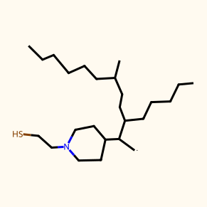 [CH2]C(C(CCCCC)CCC(C)CCCCCC)C1CCN(CCS)CC1